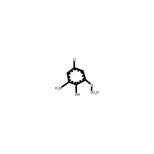 Nc1cc(Cl)cc(OS(=O)(=O)O)c1O